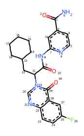 NC(=O)c1ccnc(NC(=O)C(CC2CCCCC2)n2cnc3ccc(F)cc3c2=O)c1